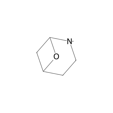 C1CC2CC([N]1)O2